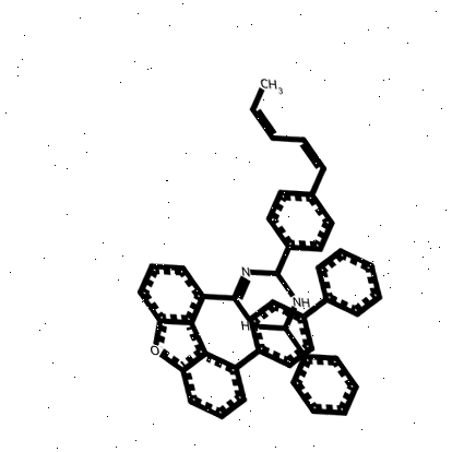 C/C=C\C=C/c1ccc(C2N=C(c3cccc4oc5cccc(-c6ccc(-c7ccccc7)cc6)c5c34)NC(c3ccccc3)N2)cc1